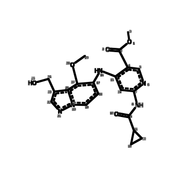 COC(=O)c1cnc(NC(=O)C2CC2)cc1Nc1ccn2ncc(CO)c2c1OC